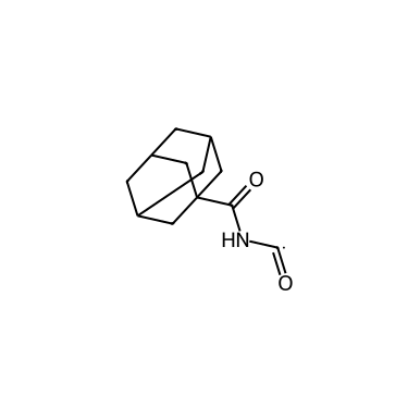 O=[C]NC(=O)C12CC3CC(CC(C3)C1)C2